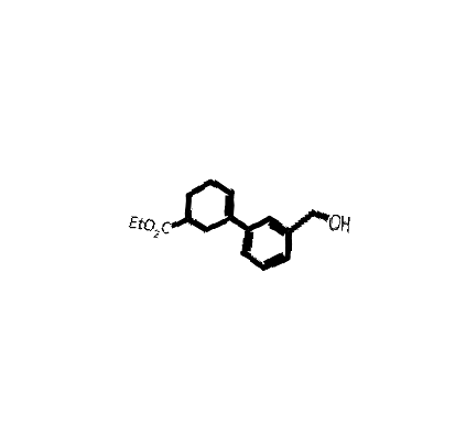 CCOC(=O)C1CCC=C(c2cccc(CO)c2)C1